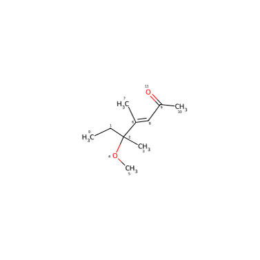 CCC(C)(OC)/C(C)=C/C(C)=O